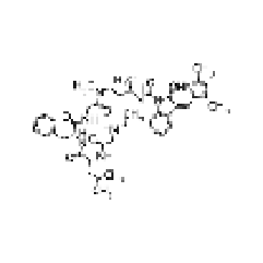 CCNCC(=O)NC(CC(C)C)C(=O)NC(Cc1ccccc1)C(=O)NCC(=O)N(C)CCC(C)NC(=O)N1C(=O)/C(=C\c2[nH]c(C)cc2C)c2ccccc21